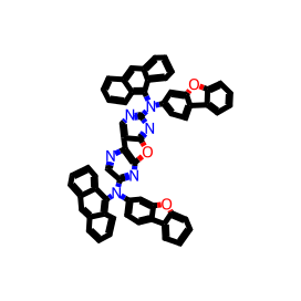 c1ccc2c(N(c3ccc4c(c3)oc3ccccc34)c3cnc4c(n3)oc3nc(N(c5ccc6c(c5)oc5ccccc56)c5c6ccccc6cc6ccccc56)ncc34)c3ccccc3cc2c1